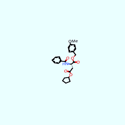 COc1ccc(COC(=O)[C@H](CC(=O)OC2CCCC2)NC(=O)c2ccccc2)cc1